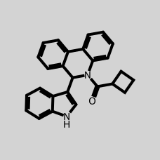 O=C(C1CCC1)N1c2ccccc2-c2ccccc2C1c1c[nH]c2ccccc12